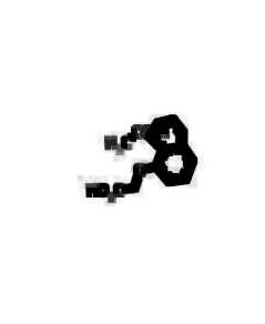 CC(=O)O.O=C(O)COc1cccc2ccccc12